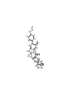 CCCc1ccc(-c2cc3c(cc2F)[C@H](NC(=O)O[C@H]2CN4CCC2CC4)C(C)(C)C3)cc1